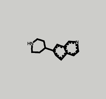 c1cc2ccc(C3CCNCC3)cc2cn1